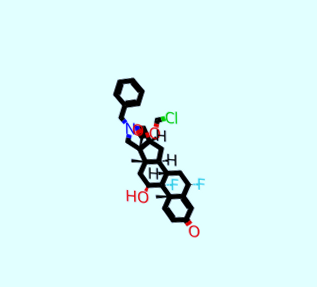 C[C@]12C=CC(=O)C=C1[C@@H](F)C[C@H]1[C@@H]3C[C@H]4CN(Cc5ccccc5)C[C@@]4(C(=O)OCCl)[C@@]3(C)C[C@H](O)[C@@]12F